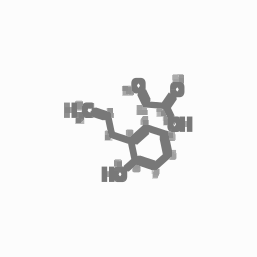 C=CCc1ccccc1O.O=CC(=O)O